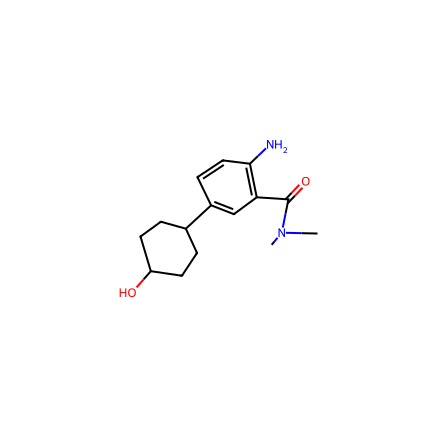 CN(C)C(=O)c1cc(C2CCC(O)CC2)ccc1N